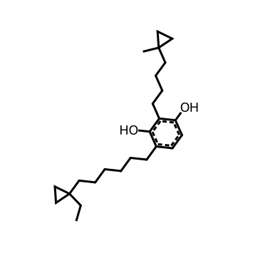 CCC1(CCCCCCc2ccc(O)c(CCCCC3(C)CC3)c2O)CC1